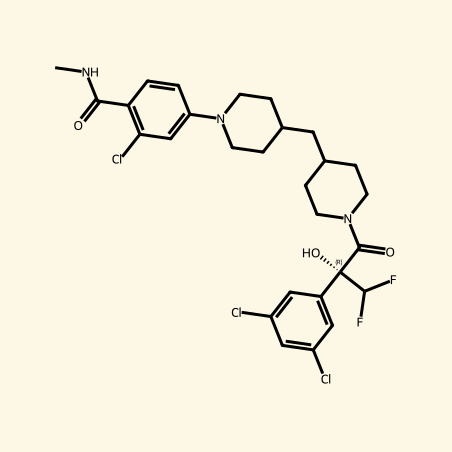 CNC(=O)c1ccc(N2CCC(CC3CCN(C(=O)[C@](O)(c4cc(Cl)cc(Cl)c4)C(F)F)CC3)CC2)cc1Cl